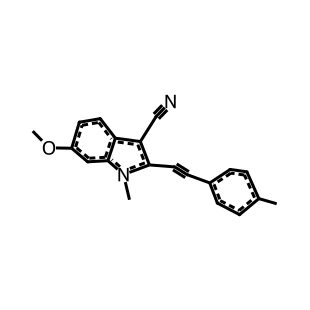 COc1ccc2c(C#N)c(C#Cc3ccc(C)cc3)n(C)c2c1